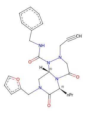 C#CCN1CC(=O)N2[C@@H](CCC)C(=O)N(Cc3ccco3)C[C@@H]2N1C(=O)NCc1ccccc1